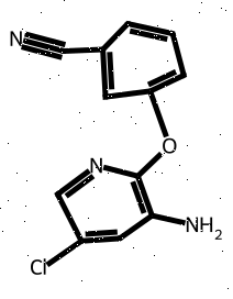 N#Cc1cccc(Oc2ncc(Cl)cc2N)c1